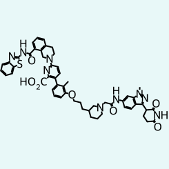 Cc1c(OCCCC2CCCN(CC(=O)Nc3ccc4c(C5CCC(=O)NC5=O)nn(C)c4c3)C2)cccc1-c1ccc(N2CCc3cccc(C(=O)Nc4nc5ccccc5s4)c3C2)nc1C(=O)O